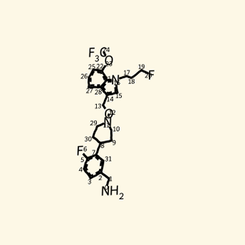 NCc1ccc(F)c(C2CCN(OCc3cn(CCCF)c4c(OC(F)(F)F)cccc34)CC2)c1